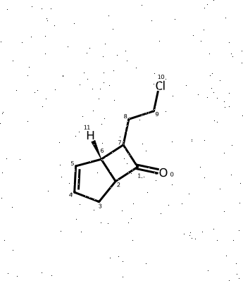 O=C1C2CC=C[C@@H]2C1CCCl